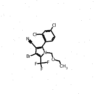 CCOCn1c(-c2ccc(Cl)cc2Cl)c(C#N)c(Br)c1C(F)(F)F